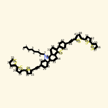 CCCCCCCCn1c2cc(C#Cc3ccc(-c4ccc(-c5cccs5)s4)s3)ccc2c2ccc3c(ccc4c5ccc(C#Cc6ccc(-c7ccc(-c8cccs8)s7)s6)cc5sc43)c21